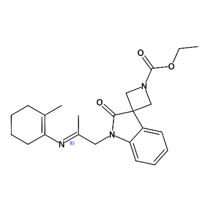 CCOC(=O)N1CC2(C1)C(=O)N(C/C(C)=N/C1=C(C)CCCC1)c1ccccc12